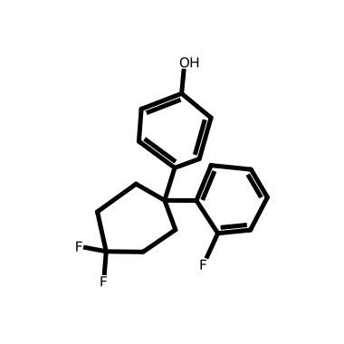 Oc1ccc(C2(c3ccccc3F)CCC(F)(F)CC2)cc1